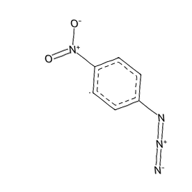 [N-]=[N+]=Nc1c[c]c([N+](=O)[O-])cc1